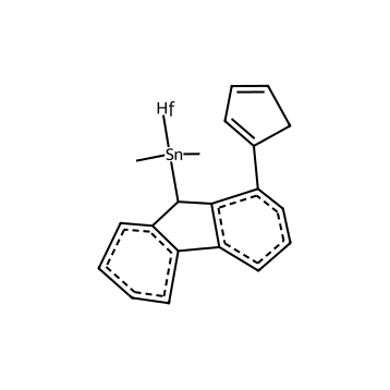 [CH3][Sn]([CH3])([Hf])[CH]1c2ccccc2-c2cccc(C3=CC=CC3)c21